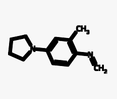 C=Nc1ccc(N2CCCC2)cc1C